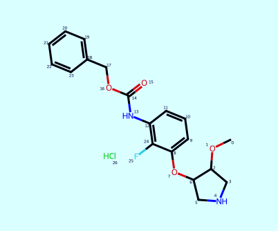 COC1CNCC1Oc1cccc(NC(=O)OCc2ccccc2)c1F.Cl